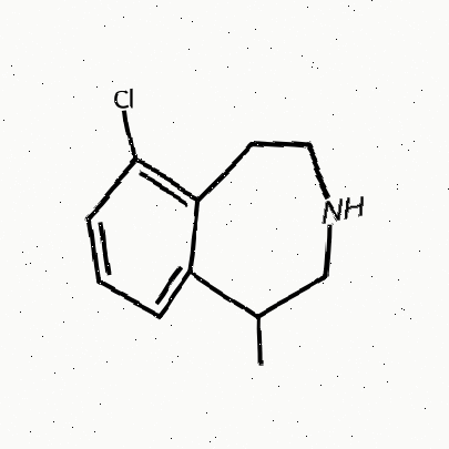 CC1CNCCc2c(Cl)cccc21